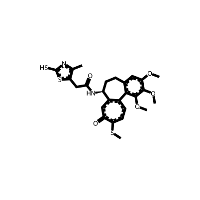 COc1cc2c(c(OC)c1OC)-c1ccc(SC)c(=O)cc1[C@@H](NC(=O)Cc1sc(S)nc1C)CC2